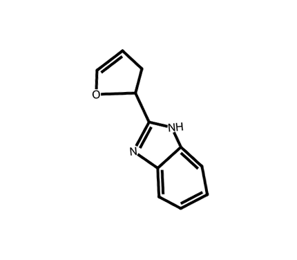 C1=COC(c2nc3ccccc3[nH]2)C1